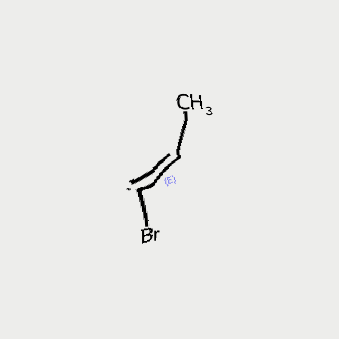 C/C=[C]/Br